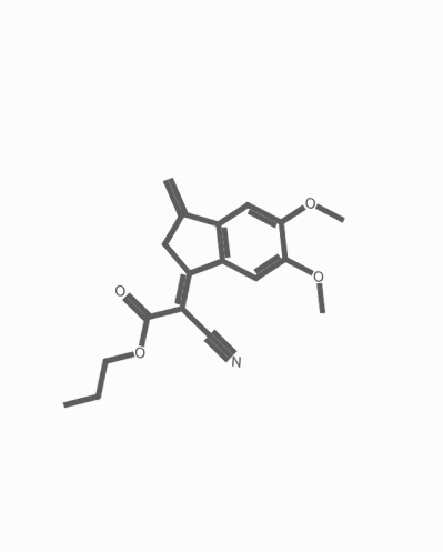 C=C1C/C(=C(/C#N)C(=O)OCCC)c2cc(OC)c(OC)cc21